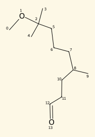 COC(C)(C)CCCC(C)CCC=O